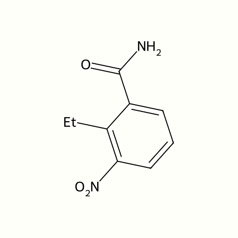 CCc1c(C(N)=O)cccc1[N+](=O)[O-]